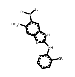 CCN(CC)c1cc2[nH]c(Nc3ncccc3C(F)(F)F)nc2cc1C(=O)O